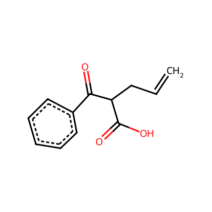 C=CCC(C(=O)O)C(=O)c1ccccc1